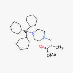 COC(=O)C(C)CN1CCN([Si](C2CCCCC2)(C2CCCCC2)C2CCCCC2)CC1